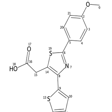 COc1ccc(-c2nc(-c3cccs3)c(CC(=O)O)s2)cc1